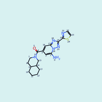 Nc1cc(C(=O)N2CCC3CCCCC3C2)cc2nc(-c3nccs3)nn12